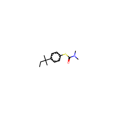 CCC(C)(C)c1ccc(SC(=O)N(C)C)cc1